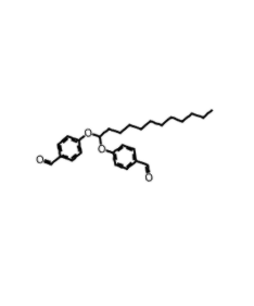 CCCCCCCCCCCC(Oc1ccc(C=O)cc1)Oc1ccc(C=O)cc1